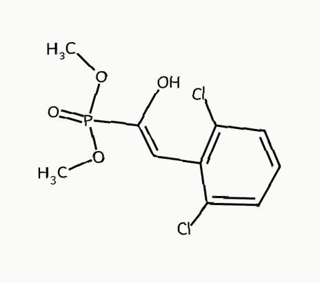 COP(=O)(OC)/C(O)=C/c1c(Cl)cccc1Cl